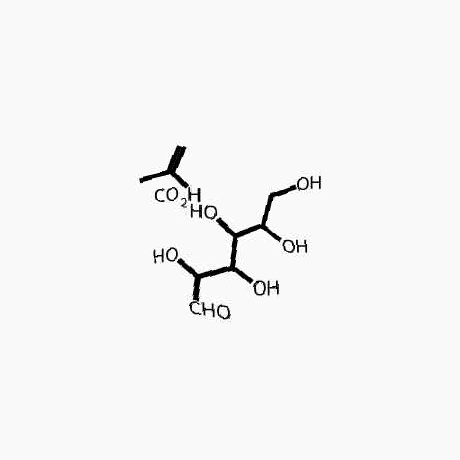 C=C(C)C(=O)O.O=CC(O)C(O)C(O)C(O)CO